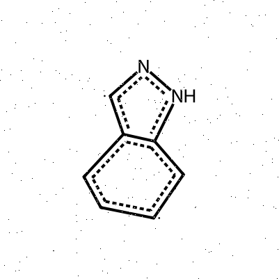 [c]1ccc2[c]n[nH]c2c1